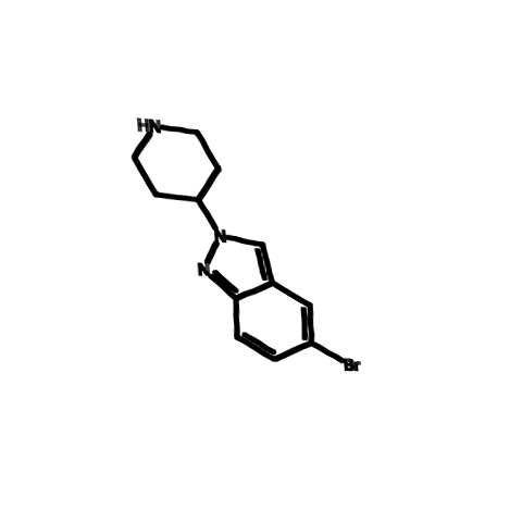 Brc1ccc2nn(C3CCNCC3)cc2c1